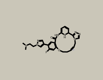 CN(C)CCn1cc(-c2cc3c(cc2F)OCC/C=C\Cn2cnnc2C2C=CC=C(NC3=O)N2)cn1